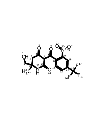 CCC1(C)CC(=O)C(C(=O)c2ccc(C(F)(F)F)cc2[N+](=O)[O-])C(=O)N1